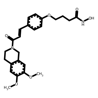 COc1cc2c(cc1OC)CN(C(=O)C=Cc1ccc(OCCCC(=O)NO)cc1)CC2